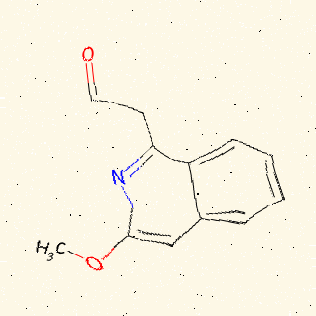 COc1cc2ccccc2c(CC=O)n1